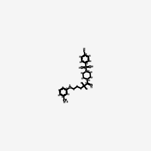 CC(C)(CCCOc1cccc(C(F)(F)F)c1)C(=O)N1CCN(S(=O)(=O)c2ccc(F)cc2)CC1